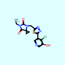 O=C1N(CC(F)(F)F)C(=O)C2(CC2)N1Cc1nnc(-c2cncc(O)c2Cl)s1